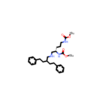 CC(C)(C)OC(=O)NCCC[C@@H](CNCC(CCc1ccccc1)CCc1ccccc1)NC(=O)OC(C)(C)C